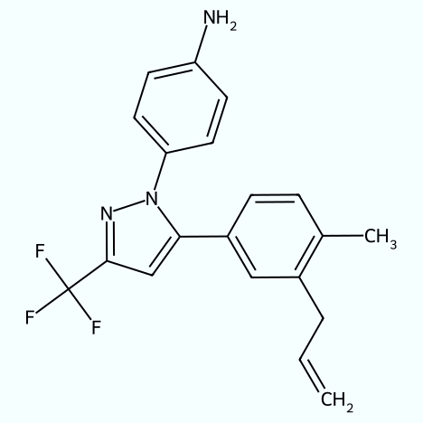 C=CCc1cc(-c2cc(C(F)(F)F)nn2-c2ccc(N)cc2)ccc1C